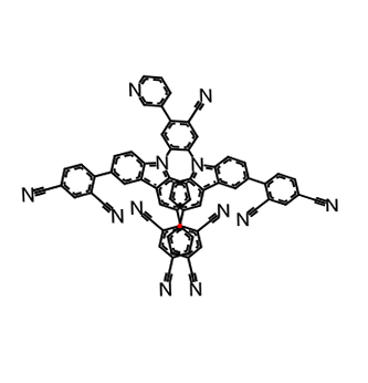 N#Cc1ccc(-c2ccc3c(c2)c2cc(-c4ccc(C#N)cc4C#N)ccc2n3-c2cc(C#N)c(-c3cccnc3)cc2-n2c3ccc(-c4ccc(C#N)cc4C#N)cc3c3cc(-c4ccc(C#N)cc4C#N)ccc32)c(C#N)c1